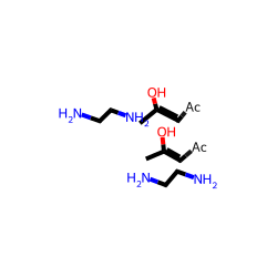 CC(=O)/C=C(/C)O.CC(=O)/C=C(/C)O.NCCN.NCCN